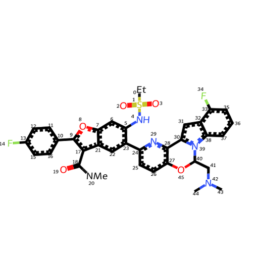 CCS(=O)(=O)Nc1cc2oc(-c3ccc(F)cc3)c(C(=O)NC)c2cc1-c1ccc2c(n1)-c1cc3c(F)cccc3n1C(CN(C)C)O2